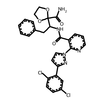 NC(=O)C1(C(Cc2ccccc2)NC(=O)c2cccnc2-n2ccc(-c3cc(Cl)ccc3Cl)n2)OCCO1